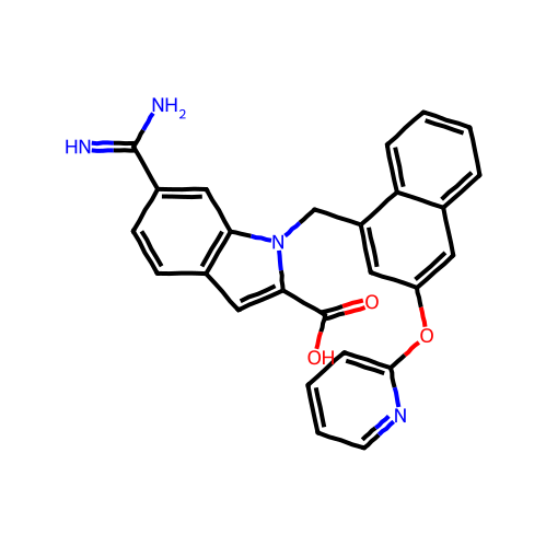 N=C(N)c1ccc2cc(C(=O)O)n(Cc3cc(Oc4ccccn4)cc4ccccc34)c2c1